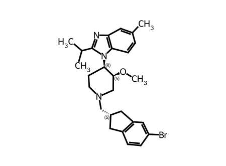 CO[C@H]1CN(C[C@H]2Cc3ccc(Br)cc3C2)CC[C@H]1n1c(C(C)C)nc2cc(C)ccc21